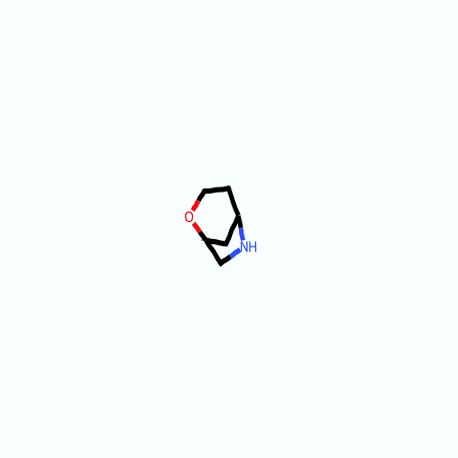 C1CC2C[C](CN2)O1